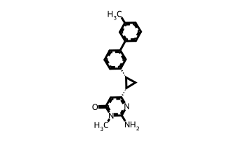 Cc1cccc(-c2cccc([C@@H]3C[C@@H]3c3cc(=O)n(C)c(N)n3)c2)c1